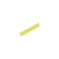 S=S=S=S=S=S=S=S=S=S=S=S=S=S=S=S=S